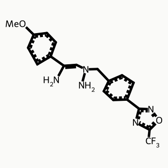 COc1ccc(/C(N)=C/N(N)Cc2ccc(-c3noc(C(F)(F)F)n3)cc2)cc1